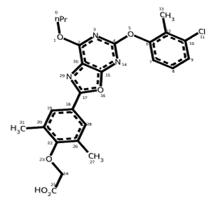 CCCOc1nc(Oc2cccc(Cl)c2C)nc2oc(-c3cc(C)c(OCC(=O)O)c(C)c3)nc12